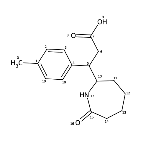 Cc1ccc(C(CC(=O)O)C2CCCCC(=O)N2)cc1